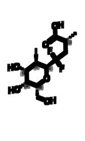 C[C@H](CC(F)(F)[C@H]1O[C@H](CO)[C@H](O)[C@H](O)[C@H]1I)C(=O)O